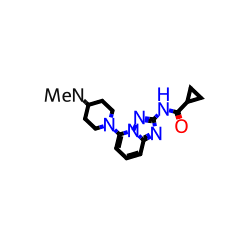 CNC1CCN(c2cccc3nc(NC(=O)C4CC4)nn23)CC1